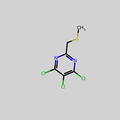 CSCc1nc(Cl)c(Cl)c(Cl)n1